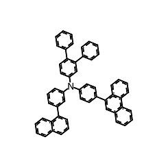 c1ccc(-c2ccc(N(c3ccc(-c4cc5ccccc5c5ccccc45)cc3)c3cccc(-c4cccc5ccccc45)c3)cc2-c2ccccc2)cc1